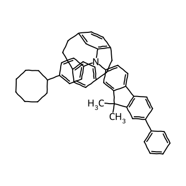 CC1(C)c2cc(-c3ccccc3)ccc2-c2ccc(N(c3ccc(C4CCCCCCC4)cc3)c3cc4ccc3CCc3ccc(cc3)CC4)cc21